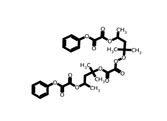 CC(CC(C)(C)OOC(=O)C(=O)OC(C)(C)CC(C)OC(=O)C(=O)Oc1ccccc1)OC(=O)C(=O)Oc1ccccc1